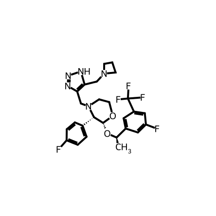 C[C@@H](O[C@H]1OCCN(Cc2nn[nH]c2CN2CCC2)[C@H]1c1ccc(F)cc1)c1cc(F)cc(C(F)(F)F)c1